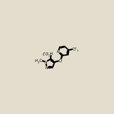 Cn1ncc(Oc2cc(C(F)(F)F)ccn2)c1C(=O)O